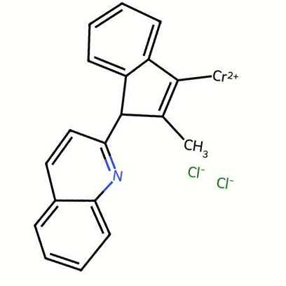 CC1=[C]([Cr+2])c2ccccc2C1c1ccc2ccccc2n1.[Cl-].[Cl-]